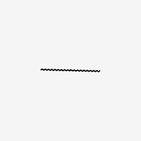 CCCCCCCCCCCCCCCCCCC=CCCCCCCCCCCCCCCCCCC